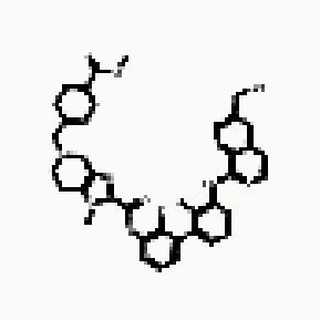 COC(=O)C1CCC(CN2CCc3c(nc(C(=O)Nc4cccc(-c5cccc(Nc6nccc7cc(CO)cnc67)c5C)c4Cl)n3C)C2)CC1